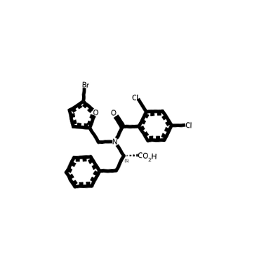 O=C(O)[C@H](Cc1ccccc1)N(Cc1ccc(Br)o1)C(=O)c1ccc(Cl)cc1Cl